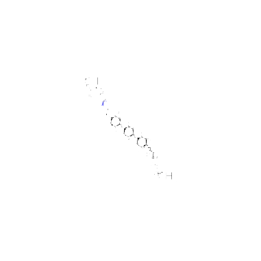 C=C[C@H]1CC[C@H](/C=C/CCc2ccc(-c3ccc(-c4ccc(COCCCCC)cc4)cc3)cc2)CC1